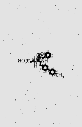 Cc1ccc(-c2ccc(CC(NC(c3ccccc3)P(=O)(O)O)C(=O)NCCC(=O)O)cc2)cc1